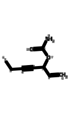 C=CC(C#CCI)OC(N)=O